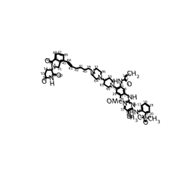 C=CC(=O)Nc1cc(Nc2ncc(Br)c(Nc3ccccc3P(C)(C)=O)n2)c(OC)cc1N1CCC(N2CCN(CCCCC#Cc3cccc4c3CN(C3CCC(=O)NC3=O)C4=O)CC2)CC1